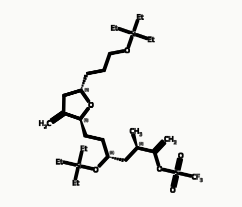 C=C(OS(=O)(=O)C(F)(F)F)[C@H](C)C[C@@H](CC[C@@H]1O[C@@H](CCCO[Si](CC)(CC)CC)CC1=C)O[Si](CC)(CC)CC